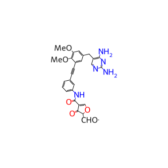 COc1cc(Cc2cnc(N)nc2N)cc(C#Cc2cccc(NC(=O)C3=COC([C]=O)C3=O)c2)c1OC